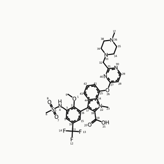 COc1c(NS(C)(=O)=O)cc(C(F)(F)F)cc1-c1c(C(=O)O)n(C)c2c(Oc3ccnc(CN4CCN(C)CC4)n3)cccc12